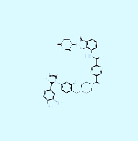 CC(C)c1cc(-c2nnc(O)n2-c2ccc(CN3CCN(C(=O)c4cnc(C(=O)Nc5cccc6c5CN(C5CCC(=O)NC5=O)C6=O)cn4)CC3)c(F)c2)c(O)cc1O